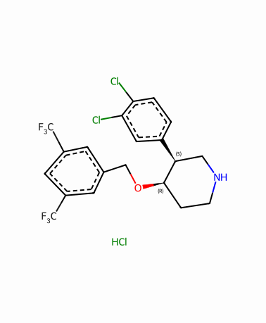 Cl.FC(F)(F)c1cc(CO[C@@H]2CCNC[C@@H]2c2ccc(Cl)c(Cl)c2)cc(C(F)(F)F)c1